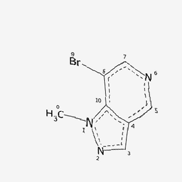 Cn1ncc2cncc(Br)c21